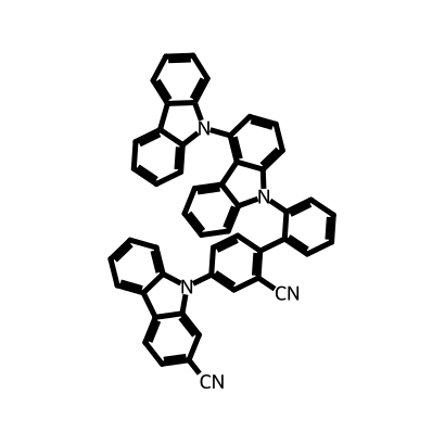 N#Cc1ccc2c3ccccc3n(-c3ccc(-c4ccccc4-n4c5ccccc5c5c(-n6c7ccccc7c7ccccc76)cccc54)c(C#N)c3)c2c1